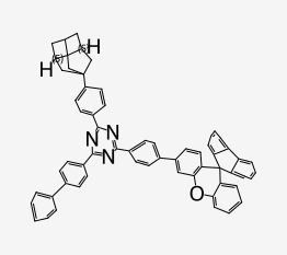 c1ccc(-c2ccc(-c3nc(-c4ccc(-c5ccc6c(c5)Oc5ccccc5C65c6ccccc6-c6ccccc65)cc4)nc(-c4ccc(C56C[C@@H]7CC8C[C@@H](C5)C87C6)cc4)n3)cc2)cc1